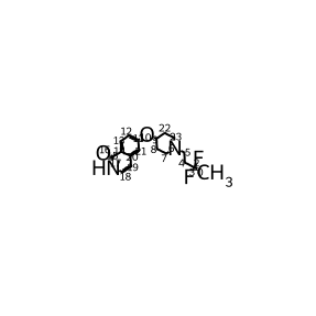 CC(F)(F)CCN1CCC(Oc2ccc3c(=O)[nH]ccc3c2)CC1